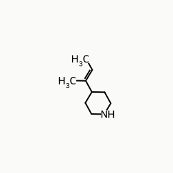 C/C=C(\C)C1CCNCC1